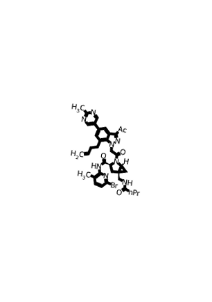 C=CCCc1cc(-c2cnc(C)nc2)cc2c(C(C)=O)nn(CC(=O)N3[C@H](C(=O)Nc4nc(Br)ccc4C)C[C@@]4(CNC(=O)CCC)C[C@@H]34)c12